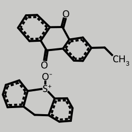 CCc1ccc2c(c1)C(=O)c1ccccc1C2=O.[O-][S+]1c2ccccc2Cc2ccccc21